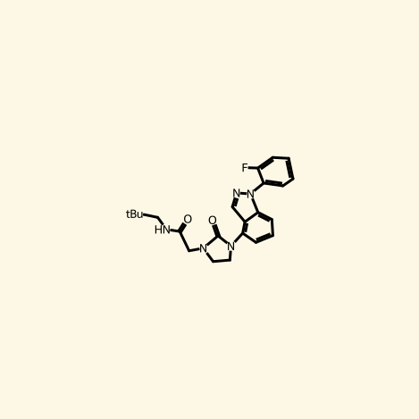 CC(C)(C)CNC(=O)CN1CCN(c2cccc3c2cnn3-c2ccccc2F)C1=O